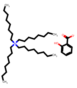 CCCCCCCC[N+](CCCCCCCC)(CCCCCCCC)CCCCCCCC.O=C([O-])c1ccccc1O